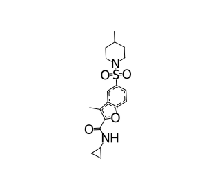 Cc1c(C(=O)NC2CC2)oc2ccc(S(=O)(=O)N3CCC(C)CC3)cc12